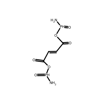 N[PH](=O)OC(=O)/C=C/C(=O)O[PH](N)=O